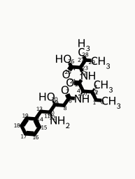 CC[C@H](C)[C@H](NC(=O)C[C@H](O)[C@@H](N)Cc1ccccc1)C(=O)NC(C(=O)O)C(C)C